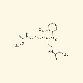 CC(C)(C)OC(=O)NCCCC1=C(CCNC(=O)OC(C)(C)C)C(=O)c2ccccc2C1=O